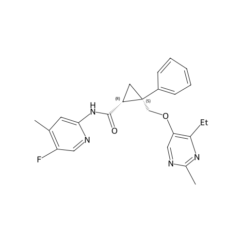 CCc1nc(C)ncc1OC[C@@]1(c2ccccc2)C[C@H]1C(=O)Nc1cc(C)c(F)cn1